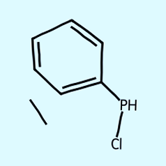 CC.ClPc1ccccc1